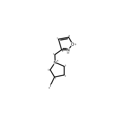 IC1CCN(Cc2ccon2)C1